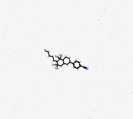 [2H]C1([2H])CC2CC(c3ccc(C#N)cc3)CCC2C([2H])([2H])C1CCCCC